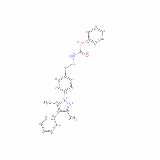 Cc1nn(-c2ccc(CCNC(=O)Oc3ccccc3)cc2)c(C)c1-c1ccccc1